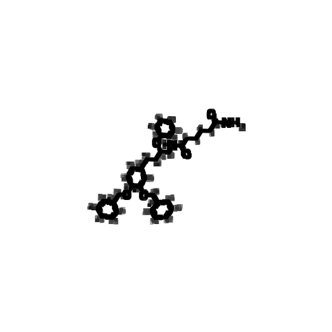 NC(=O)CCCCC(=O)NCC(CCc1ccc(OCc2ccccc2)c(OCc2ccccc2)c1)Oc1ccccc1